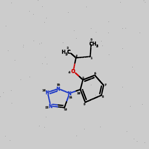 CCC(C)Oc1ccccc1-n1cnnn1